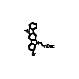 CCCCCCCCCCCCn1c2cc(Br)ccc2c2cc3c(cc21)c1ccccc1n3C